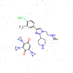 CC(C)(C)NCCn1cc(-c2ccc(F)c(C(F)(F)F)c2)nc1C1CCNCC1.Cl.O=C1C=C(N2CC2)C(=O)C(N2CC2)=C1N1CC1